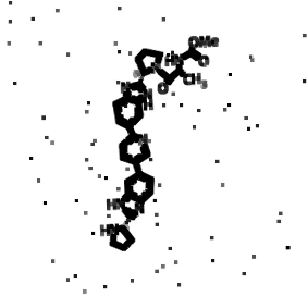 COC(=O)NC(C)C(=O)N1CCC[C@H]1c1nc2ccc(-c3ccc(-c4ccc5nc([C@@H]6CCCN6)[nH]c5c4)cn3)cc2[nH]1